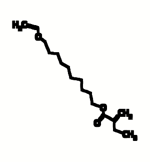 C=COCCCCCCCCCCOC(=O)C(=C)CC